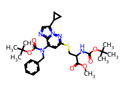 COC(=O)C(CSc1cc(N(Cc2ccccc2)C(=O)OC(C)(C)C)c2ncc(C3CC3)n2n1)NC(=O)OC(C)(C)C